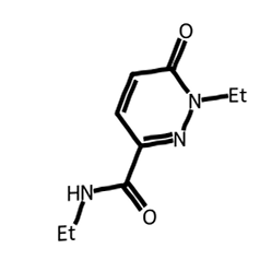 CCNC(=O)c1ccc(=O)n(CC)n1